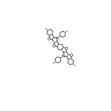 Cc1ccc(-n2c3c4ccc(C)cc4oc3c3oc4cc5c(cc4c32)oc2c3oc4cc(C)ccc4c3n(-c3ccc(C)cc3)c52)cc1